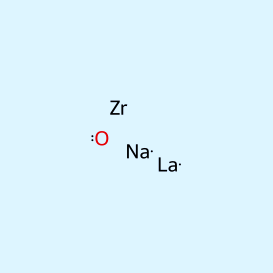 [La].[Na].[O].[Zr]